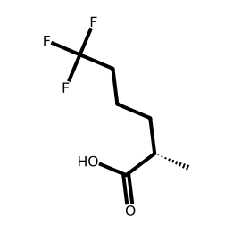 C[C@@H](CCCC(F)(F)F)C(=O)O